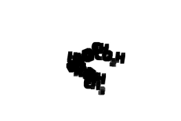 CC1CN(c2cc(Nc3ccc([C@@H](C)C(=O)O)cc3)c3c(n2)CCC3)CCN1